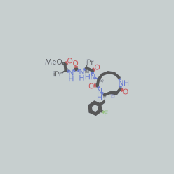 COC(=O)[C@@H](NC(=O)N[C@H](C(=O)N[C@H]1CCCCNC(=O)/C=C/[C@H](Cc2ccccc2F)NC1=O)C(C)C)C(C)C